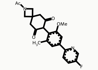 COc1cc(-c2ccc(F)cn2)cc(C)c1C1C(=O)CC2(CC1=O)CN(C(C)=O)C2